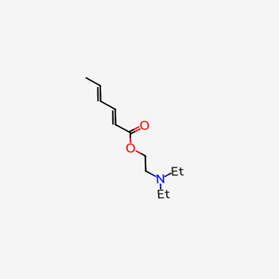 CC=CC=CC(=O)OCCN(CC)CC